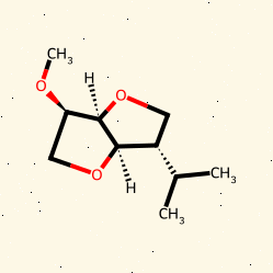 CO[C@@H]1CO[C@H]2[C@@H]1OC[C@@H]2C(C)C